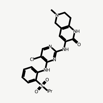 CC(C)S(=O)(=O)c1ccccc1Nc1nc(Nc2cc3c([nH]c2=O)CCN(C)C3)ncc1Cl